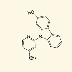 CC(C)(C)c1ccnc(-n2c3ccccc3c3ccc(O)cc32)c1